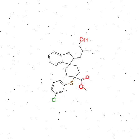 COC(=O)C1(Sc2cccc(Cl)c2)CCC2(CC1)c1ccccc1CC2C[C@@H](C)CO